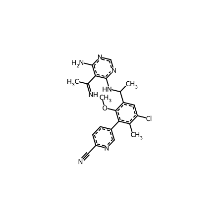 COc1c(C(C)Nc2ncnc(N)c2C(C)=N)cc(Cl)c(C)c1-c1ccc(C#N)nc1